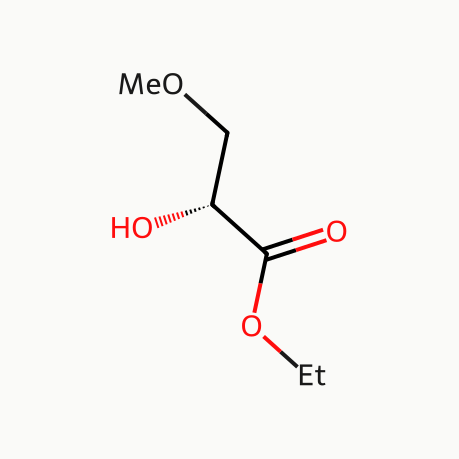 CCOC(=O)[C@H](O)COC